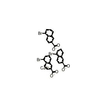 O=C([O-])c1ccc2c(Br)cccc2c1.O=C([O-])c1ccc2c(Br)cccc2c1.O=C([O-])c1ccc2c(Br)cccc2c1.[Ga+3]